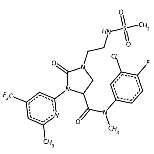 Cc1cc(C(F)(F)F)cc(N2C(=O)N(CCNS(C)(=O)=O)CC2C(=O)N(C)c2ccc(F)c(Cl)c2)n1